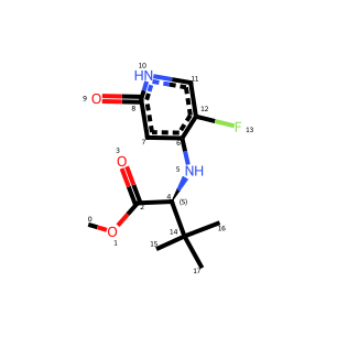 COC(=O)[C@@H](Nc1cc(=O)[nH]cc1F)C(C)(C)C